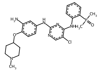 CN1CCC(Oc2ccc(Nc3ncc(Cl)c(Nc4ccccc4P(C)(C)=O)n3)cc2N)CC1